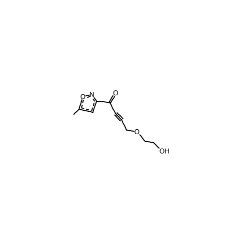 Cc1cc(C(=O)C#CCOCCO)no1